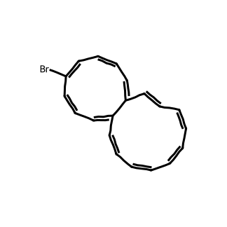 Brc1ccccc2c(ccc1)\C=C/C=C\C=C/C=C\C=C\2